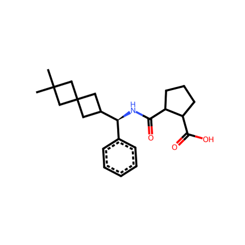 CC1(C)CC2(CC([C@@H](NC(=O)C3CCCC3C(=O)O)c3ccccc3)C2)C1